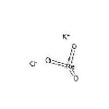 [Cl-].[K+].[O]=[Re](=[O])=[O]